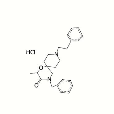 CC1OC2(CCN(CCc3ccccc3)CC2)CN(Cc2ccccc2)C1=O.Cl